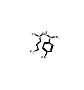 CCN(CC)CCCN.CN(C)c1ccc(N)cc1